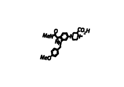 CNC(=O)c1nn(Cc2ccc(OC)cc2)c2cc(N3CCN(C)C(C(=O)O)C3)ccc12